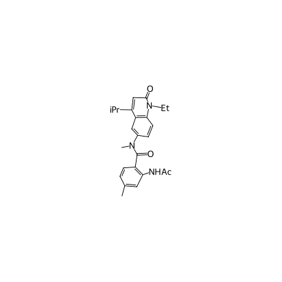 CCn1c(=O)cc(C(C)C)c2cc(N(C)C(=O)c3ccc(C)cc3NC(C)=O)ccc21